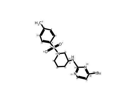 Cc1ccc(S(=O)(=O)N2CCCC(Nc3nccc(C(C)(C)C)n3)C2)cc1